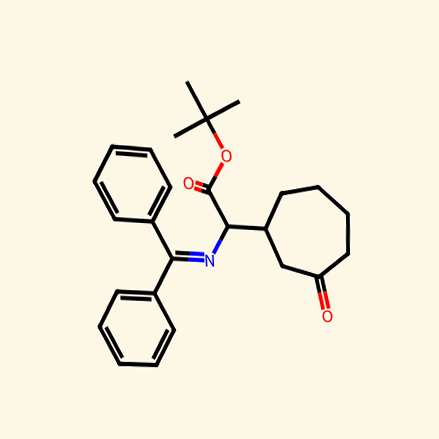 CC(C)(C)OC(=O)C(N=C(c1ccccc1)c1ccccc1)C1CCCCC(=O)C1